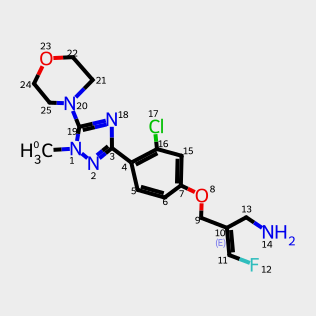 Cn1nc(-c2ccc(OC/C(=C/F)CN)cc2Cl)nc1N1CCOCC1